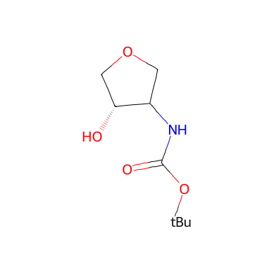 CC(C)(C)OC(=O)NC1COC[C@H]1O